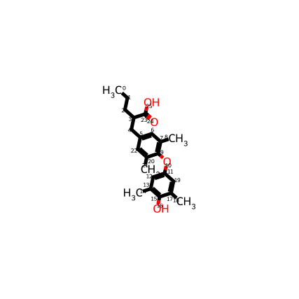 CCCC(Cc1cc(C)c(Oc2cc(C)c(O)c(C)c2)c(C)c1)C(=O)O